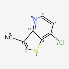 N#Cc1csc2c(Cl)ccnc12